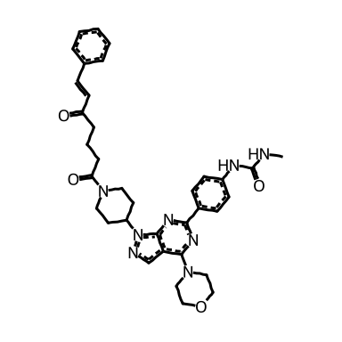 CNC(=O)Nc1ccc(-c2nc(N3CCOCC3)c3cnn(C4CCN(C(=O)CCCC(=O)/C=C/c5ccccc5)CC4)c3n2)cc1